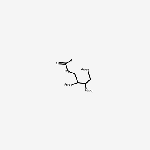 CC(=O)NCC(NC(C)=O)C(CNC(=O)I)NC(C)=O